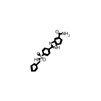 NC(=O)c1ccc2[nH]c(-c3ccc(S(=O)(=O)NCc4ccccc4)cc3)nc2c1